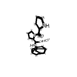 Cl.O=C(NC12CC3CC(CC(C3)C1)C2)C1CCCN1C(=O)C1CCCN1